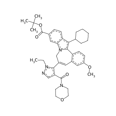 CCn1ncc(C(=O)N2CCOCC2)c1C1=Cc2cc(OC)ccc2-c2c(C3CCCCC3)c3ccc(C(=O)OC(C)(C)C)cc3n2C1